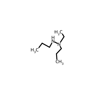 [CH2]CN(CCC)NCCC